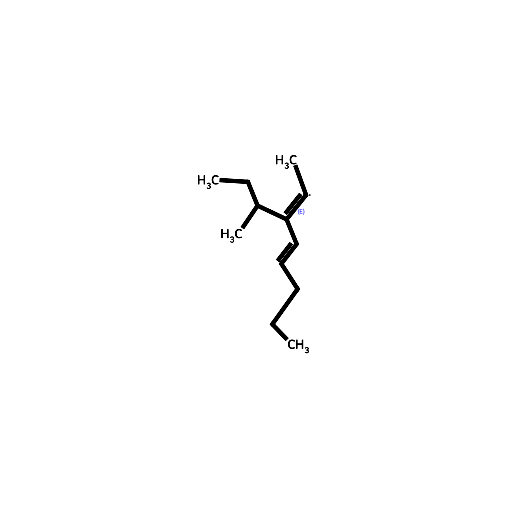 C/[C]=C(/C=CCCC)C(C)CC